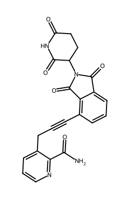 NC(=O)c1ncccc1CC#Cc1cccc2c1C(=O)N(C1CCC(=O)NC1=O)C2=O